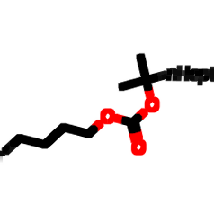 CCCCCCCC(C)(C)OC(=O)OCCCCC(C)C